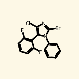 Fc1cccc(F)c1-c1c(Cl)nc(Br)n1-c1ccccc1